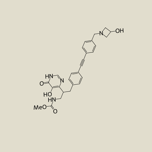 COC(=O)NCC(Cc1ccc(C#Cc2ccc(CN3CC(O)C3)cc2)cc1)c1nc[nH]c(=O)c1O